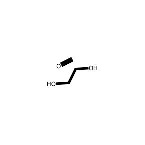 C=O.OCCO